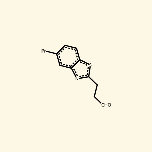 CC(C)c1ccc2sc(CCC=O)nc2c1